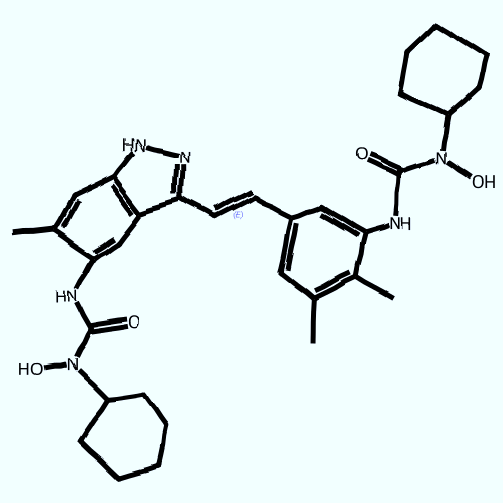 Cc1cc2[nH]nc(/C=C/c3cc(C)c(C)c(NC(=O)N(O)C4CCCCC4)c3)c2cc1NC(=O)N(O)C1CCCCC1